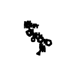 CC(C)n1nnnc1-c1cccc(NC(=O)c2cc(-n3cnc(C4CC4)c3)c(N3CCCCC3)cn2)n1